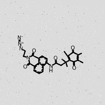 CC1=C(C)C(=O)C(C(C)(C)CC(=O)Nc2ccc3c4c(cccc24)C(=O)N(CCN=[N+]=[N-])C3=O)=C(C)C1=O